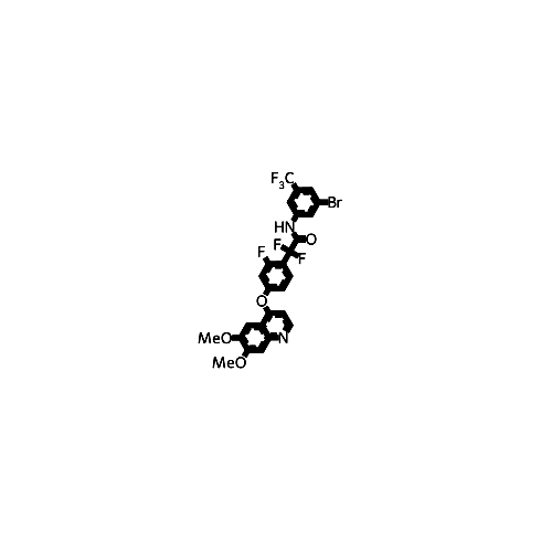 COc1cc2nccc(Oc3ccc(C(F)(F)C(=O)Nc4cc(Br)cc(C(F)(F)F)c4)c(F)c3)c2cc1OC